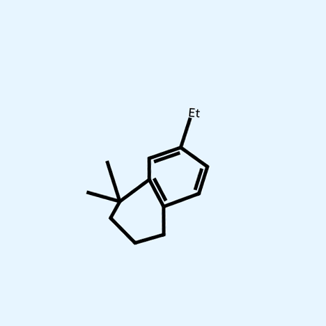 CCc1ccc2c(c1)C(C)(C)CCC2